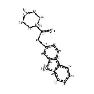 S=C(Cc1ccc2c(c1)[nH]c1ccccc12)N1CCOCC1